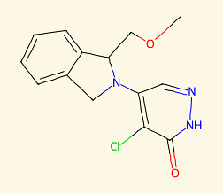 COCC1c2ccccc2CN1c1cn[nH]c(=O)c1Cl